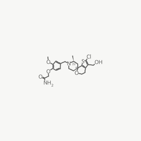 COc1cc(CN2CC[C@]3(C[C@@H]2C)OCCc2c3sc(Cl)c2CO)ccc1OCC(N)=O